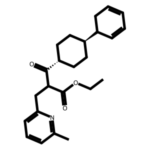 CCOC(=O)C(Cc1cccc(C)n1)C(=O)[C@H]1CC[C@H](C2C=CC=CC2)CC1